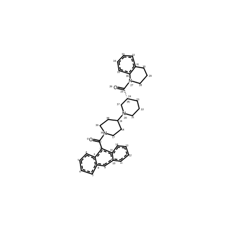 O=C(c1c2ccccc2cc2ccccc12)N1CCC(N2CCC[C@@H](C(=O)N3CCCc4ccccc43)C2)CC1